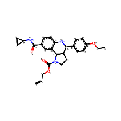 C=CCOC(=O)N1CCC2C(c3ccc(OCC)cc3)Nc3ccc(C(=O)NC4CC4)cc3C21